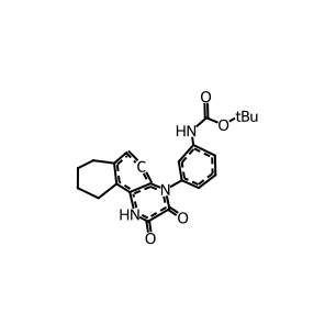 CC(C)(C)OC(=O)Nc1cccc(-n2c(=O)c(=O)[nH]c3c4c(ccc32)CCCC4)c1